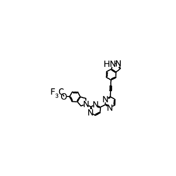 FC(F)(F)Oc1ccc2c(c1)CN(c1nccc(-c3nccc(C#Cc4ccc5[nH]ncc5c4)n3)n1)C2